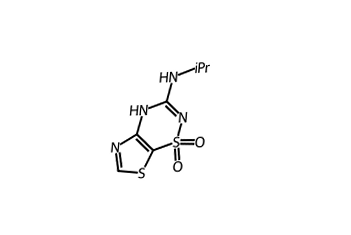 CC(C)NC1=NS(=O)(=O)c2scnc2N1